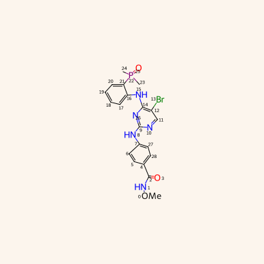 CONC(=O)c1ccc(Nc2ncc(Br)c(Nc3ccccc3P(C)(C)=O)n2)cc1